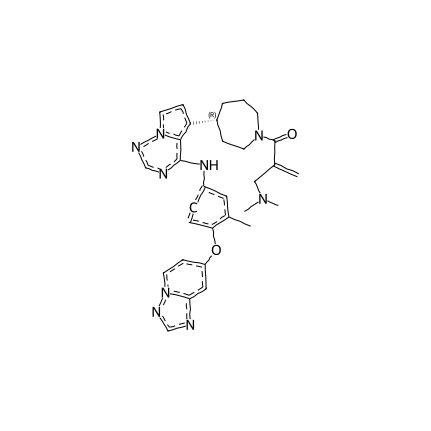 C=C(CN(C)C)C(=O)N1CCC[C@@H](c2ccn3ncnc(Nc4ccc(Oc5ccn6ncnc6c5)c(C)c4)c23)CC1